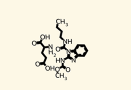 CCCCNC(=O)n1c(NC(=O)OC)nc2ccccc21.NC(CCC(=O)O)C(=O)O